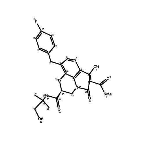 CNC(=O)c1c(O)c2ncc(Cc3ccc(F)cc3)c3c2n(c1=O)C[C@@H](C(=O)NC(C)(C)CO)O3